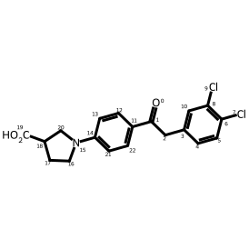 O=C(Cc1ccc(Cl)c(Cl)c1)c1ccc(N2CCC(C(=O)O)C2)cc1